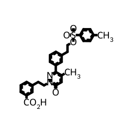 Cc1ccc(S(=O)(=O)OCCc2cccc(-c3nn(CCc4cccc(C(=O)O)c4)c(=O)cc3C)c2)cc1